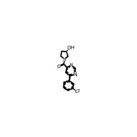 O=C(c1cc(-c2cccc(Cl)c2)ncn1)N1CC[C@@H](O)C1